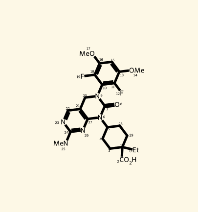 CCC1(C(=O)O)CCC(N2C(=O)N(c3c(F)c(OC)cc(OC)c3F)Cc3cnc(NC)nc32)CC1